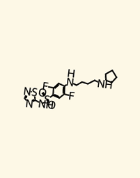 O=S(=O)(Nc1ncns1)c1cc(F)c(NCCCCNC2CCCC2)cc1F